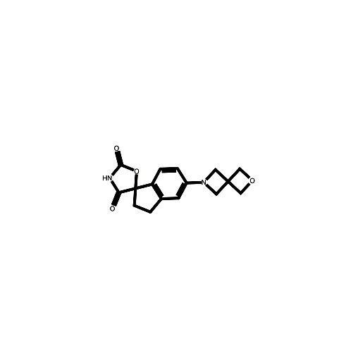 O=C1NC(=O)C2(CCc3cc(N4CC5(COC5)C4)ccc32)O1